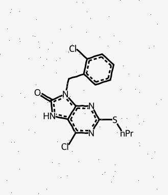 CCCSc1nc(Cl)c2[nH]c(=O)n(Cc3ccccc3Cl)c2n1